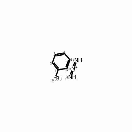 CC(C)(C)c1ccccc1.N=[N+]=N